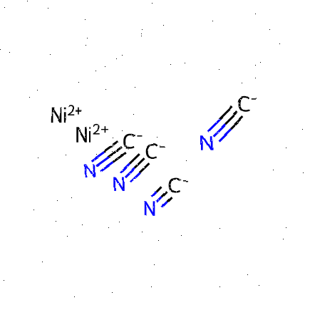 [C-]#N.[C-]#N.[C-]#N.[C-]#N.[Ni+2].[Ni+2]